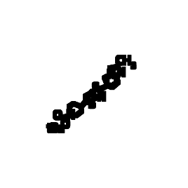 Cc1cn2cc(-c3nc4sc(C5CCN(C(=O)OC(C)(C)C)CC5)cc4s3)ccc2n1